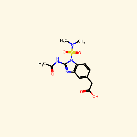 CC(=O)Nc1nc2cc(CC(=O)O)ccc2n1S(=O)(=O)N(C)C